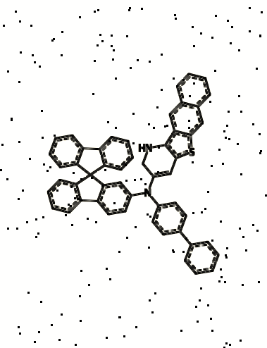 C1=C(N(c2ccc(-c3ccccc3)cc2)c2ccc3c(c2)C2(c4ccccc4-c4ccccc42)c2ccccc2-3)CNc2c1sc1cc3ccccc3cc21